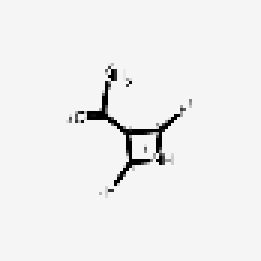 NC(=O)C1C(F)NC1F